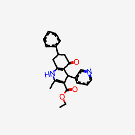 CCOC(=O)C1=C(C)NC2=C(C(=O)CC(c3ccccc3)C2)C1c1cccnc1